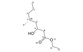 CCC[C@@H](C)CC(O)CC(=O)OCC